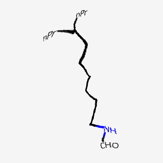 CCCC(CCC)CCCCCCNC=O